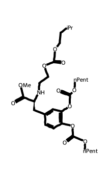 CCCCCOC(=O)Oc1ccc(C[C@H](NCCOC(=O)OCCC(C)C)C(=O)OC)cc1OC(=O)OCCCCC